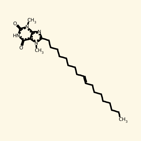 CCCCCCCCC=CCCCCCCCCc1nc2c(c(=O)[nH]c(=O)n2C)n1C